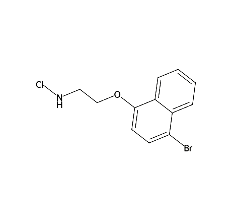 ClNCCOc1ccc(Br)c2ccccc12